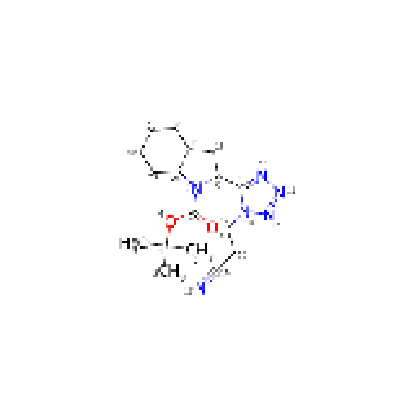 CC(C)(C)OC(=O)N1C(c2nnnn2CCC#N)CC2CCCCC21